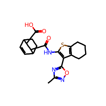 Cc1noc(-c2c(NC(=O)C3C4C=CC(CC4)C3C(=O)O)sc3c2CCCC3)n1